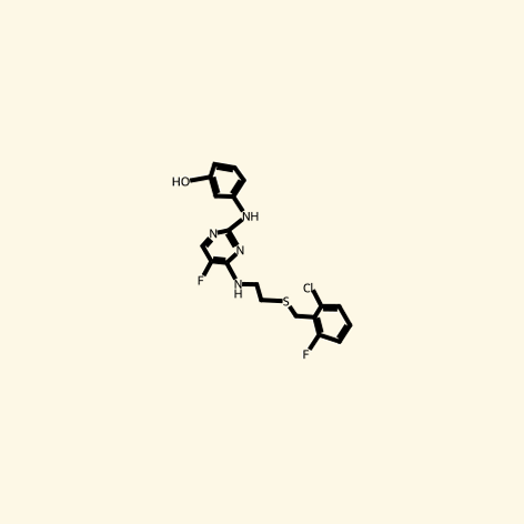 Oc1cccc(Nc2ncc(F)c(NCCSCc3c(F)cccc3Cl)n2)c1